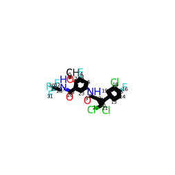 COc1c(F)cc(NC(=O)C2C(c3ccc(F)c(Cl)c3)C2(Cl)Cl)cc1C(=O)NCC(F)(F)F